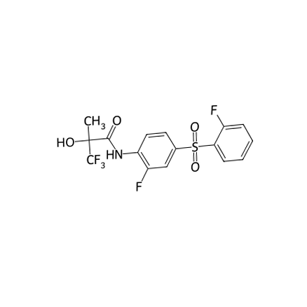 CC(O)(C(=O)Nc1ccc(S(=O)(=O)c2ccccc2F)cc1F)C(F)(F)F